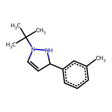 Cc1cccc(C2C=CN(C(C)(C)C)N2)c1